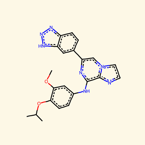 COc1cc(Nc2nc(-c3ccc4nn[nH]c4c3)cn3ccnc23)ccc1OC(C)C